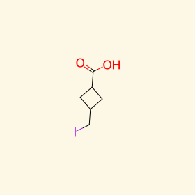 O=C(O)C1CC(CI)C1